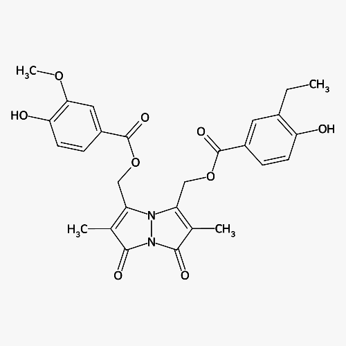 CCc1cc(C(=O)OCc2c(C)c(=O)n3c(=O)c(C)c(COC(=O)c4ccc(O)c(OC)c4)n23)ccc1O